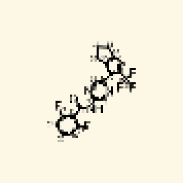 O=C(Nc1cnc(-c2c(C(F)(F)F)sc3c2CCC3)cn1)c1c(F)cccc1F